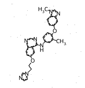 Cc1cc(Nc2ncnc3ccc(OCCn4ccnc4)cc23)ccc1Oc1ccc2c(c1)ncn2C